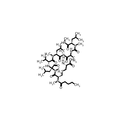 CCCCC(=O)N(C)[C@H](CSC[C@H](N)C(=O)O)C(=O)N(C)[C@](C=O)(CC(C)C)N[C@@H](C(=O)N(C)[C@@H](CC(C)C)C(=O)NC(=O)C(C)NC(=O)N(C)[C@H](CC(C)C)C(=O)NC)C(C)C